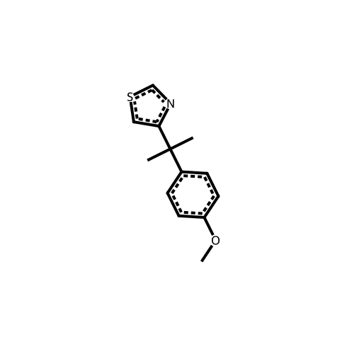 COc1ccc(C(C)(C)c2cscn2)cc1